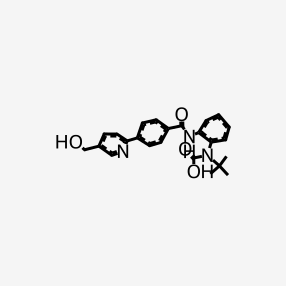 CC(C)(C)N(C(=O)O)c1ccccc1NC(=O)c1ccc(-c2ccc(CO)cn2)cc1